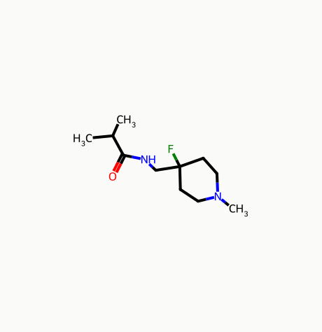 CC(C)C(=O)NCC1(F)CCN(C)CC1